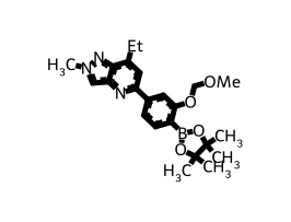 CCc1cc(-c2ccc(B3OC(C)(C)C(C)(C)O3)c(OCOC)c2)nc2cn(C)nc12